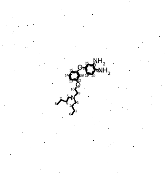 CCCCN(CCCC)CCOc1cccc(Oc2ccc(N)c(N)c2)c1